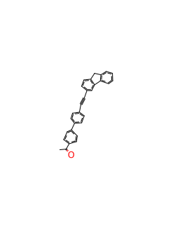 CC(=O)c1ccc(-c2ccc(C#Cc3ccc4c(c3)-c3ccccc3C4)cc2)cc1